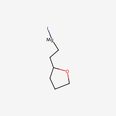 [I][Mg][CH2]CC1CCCO1